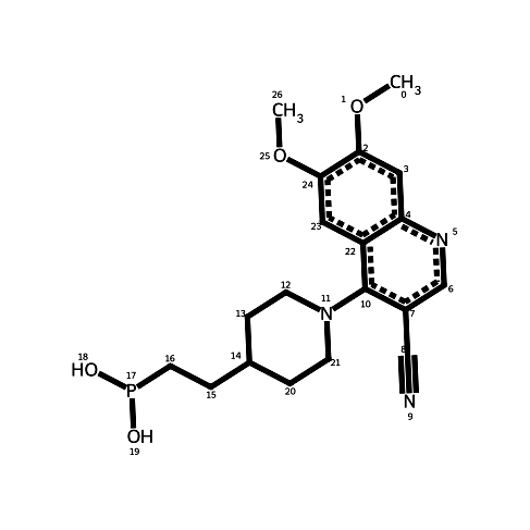 COc1cc2ncc(C#N)c(N3CCC(CCP(O)O)CC3)c2cc1OC